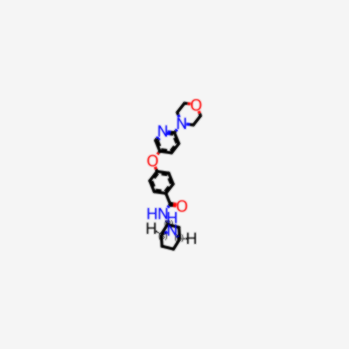 O=C(N[C@@H]1C[C@H]2CC[C@@H]1N2)c1ccc(Oc2ccc(N3CCOCC3)nc2)cc1